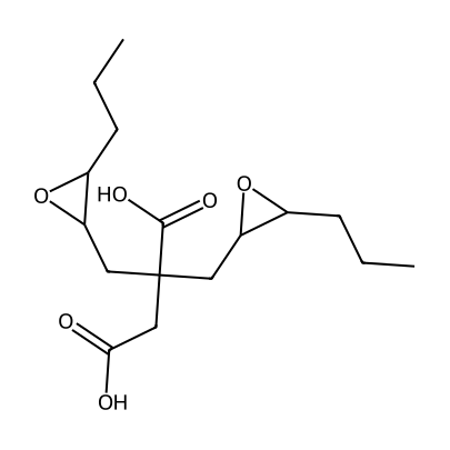 CCCC1OC1CC(CC(=O)O)(CC1OC1CCC)C(=O)O